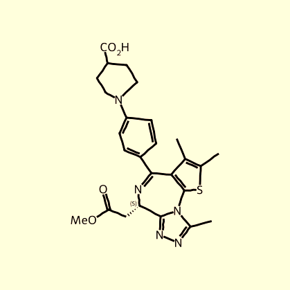 COC(=O)C[C@@H]1N=C(c2ccc(N3CCC(C(=O)O)CC3)cc2)c2c(sc(C)c2C)-n2c(C)nnc21